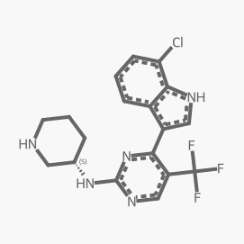 FC(F)(F)c1cnc(N[C@H]2CCCNC2)nc1-c1c[nH]c2c(Cl)cccc12